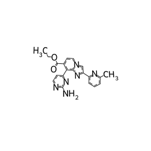 CCOC(=O)c1ccn2cc(-c3cccc(C)n3)nc2c1-c1ccnc(N)n1